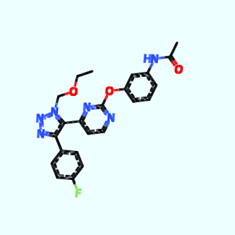 CCOCn1nnc(-c2ccc(F)cc2)c1-c1ccnc(Oc2cccc(NC(C)=O)c2)n1